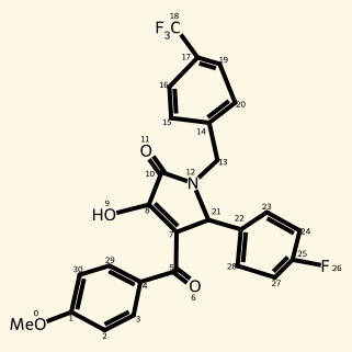 COc1ccc(C(=O)C2=C(O)C(=O)N(Cc3ccc(C(F)(F)F)cc3)C2c2ccc(F)cc2)cc1